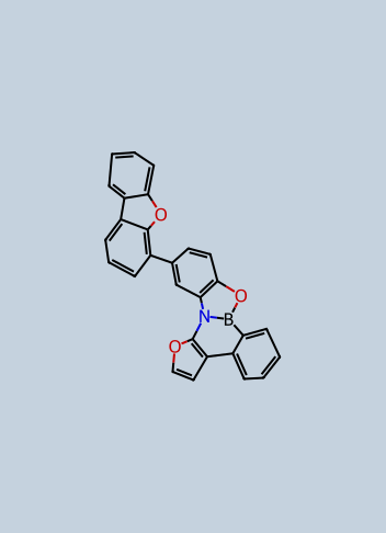 c1ccc2c(c1)B1Oc3ccc(-c4cccc5c4oc4ccccc45)cc3N1c1occc1-2